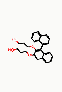 OCCCOc1cc2ccccc2c(-c2cccc3ccccc23)c1OCCCO